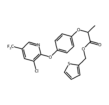 CC(Oc1ccc(Oc2ncc(C(F)(F)F)cc2Cl)cc1)C(=O)OCc1cccs1